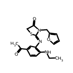 CCNc1ccc(C(C)=O)cc1N=C1SCC(=O)N1Cc1ccco1